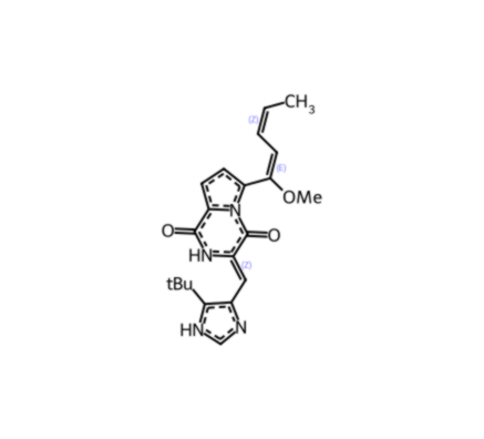 C/C=C\C=C(\OC)c1ccc2c(=O)[nH]/c(=C\c3nc[nH]c3C(C)(C)C)c(=O)n12